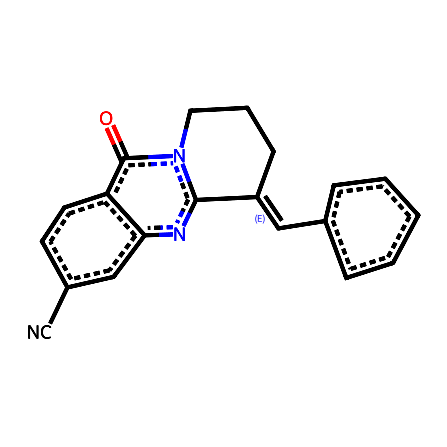 N#Cc1ccc2c(=O)n3c(nc2c1)/C(=C/c1ccccc1)CCC3